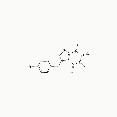 CC(C)c1ccc(Cn2cnc3c2c(=O)n(C)c(=O)n3C)cc1